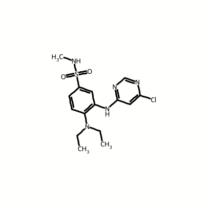 CCN(CC)c1ccc(S(=O)(=O)NC)cc1Nc1cc(Cl)ncn1